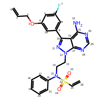 C=CCOc1cc(F)cc(-c2nn(CCN(c3ccccc3)S(=O)(=O)C=C)c3ncnc(N)c23)c1